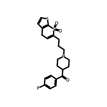 O=C(c1ccc(F)cc1)C1CCN(CCCC2=CCc3ccsc3S2(=O)=O)CC1